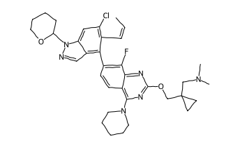 C/C=C\c1c(Cl)cc2c(cnn2C2CCCCO2)c1-c1ccc2c(N3CCCCC3)nc(OCC3(CN(C)C)CC3)nc2c1F